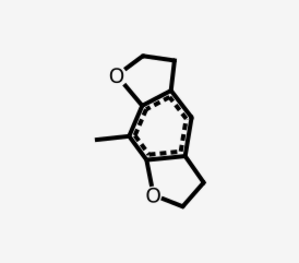 Cc1c2c(cc3c1OCC3)CCO2